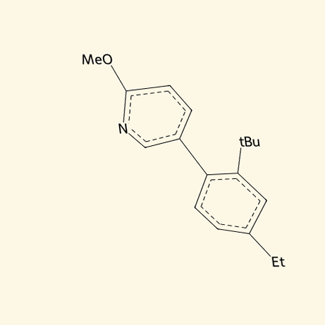 CCc1ccc(-c2ccc(OC)nc2)c(C(C)(C)C)c1